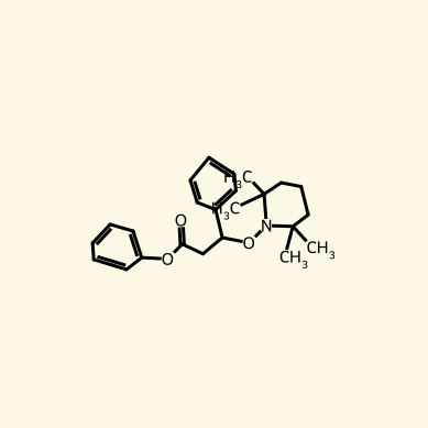 CC1(C)CCCC(C)(C)N1OC(CC(=O)Oc1ccccc1)c1ccccc1